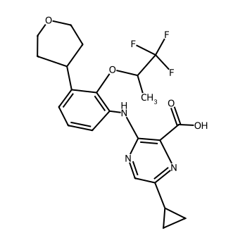 CC(Oc1c(Nc2ncc(C3CC3)nc2C(=O)O)cccc1C1CCOCC1)C(F)(F)F